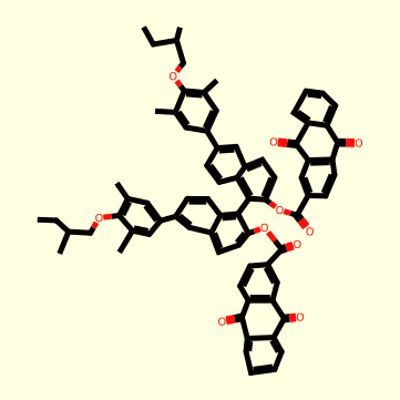 CCC(C)COc1c(C)cc(-c2ccc3c(-c4c(OC(=O)c5ccc6c(c5)C(=O)c5ccccc5C6=O)ccc5cc(-c6cc(C)c(OCC(C)CC)c(C)c6)ccc45)c(OC(=O)c4ccc5c(c4)C(=O)c4ccccc4C5=O)ccc3c2)cc1C